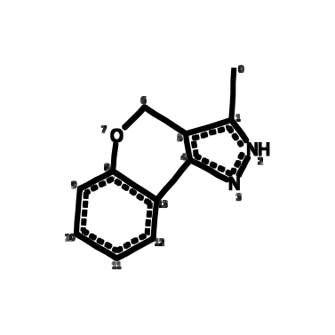 Cc1[nH]nc2c1COc1ccccc1-2